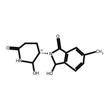 Cc1ccc2c(c1)C(=O)N([C@H]1CCC(=O)NC1O)C2O